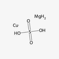 O=S(=O)(O)O.[Cu].[MgH2]